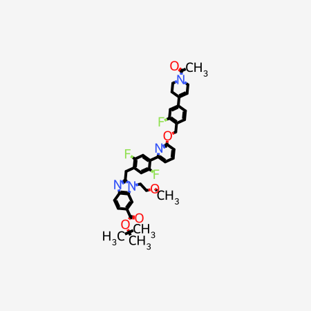 COCCn1c(Cc2cc(F)c(-c3cccc(OCc4ccc(C5=CCN(C(C)=O)CC5)cc4F)n3)cc2F)nc2ccc(C(=O)OC(C)(C)C)cc21